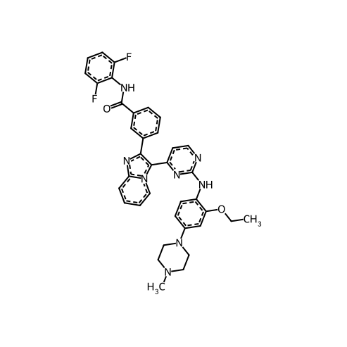 CCOc1cc(N2CCN(C)CC2)ccc1Nc1nccc(-c2c(-c3cccc(C(=O)Nc4c(F)cccc4F)c3)nc3ccccn23)n1